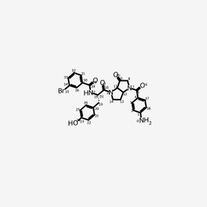 Nc1ccc(C(=O)N2CC(=O)C3C2CCN3C(=O)[C@H](Cc2ccc(O)cc2)NC(=O)c2cccc(Br)c2)cc1